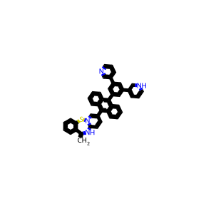 C=C1NC2C=CC(c3c4ccccc4c(-c4cc(C5=CC=CNC5)cc(-c5cccnc5)c4)c4ccccc34)=CN2Sc2ccccc21